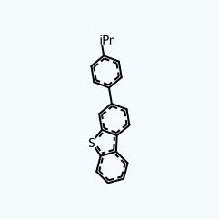 CC(C)c1ccc(-c2ccc3c(c2)sc2ccccc23)cc1